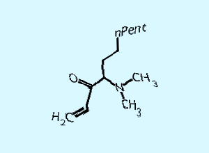 C=CC(=O)C(CCCCCCC)N(C)C